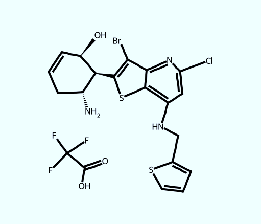 N[C@@H]1CC=C[C@@H](O)[C@H]1c1sc2c(NCc3cccs3)cc(Cl)nc2c1Br.O=C(O)C(F)(F)F